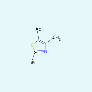 CC(=O)c1sc(C(C)C)nc1C